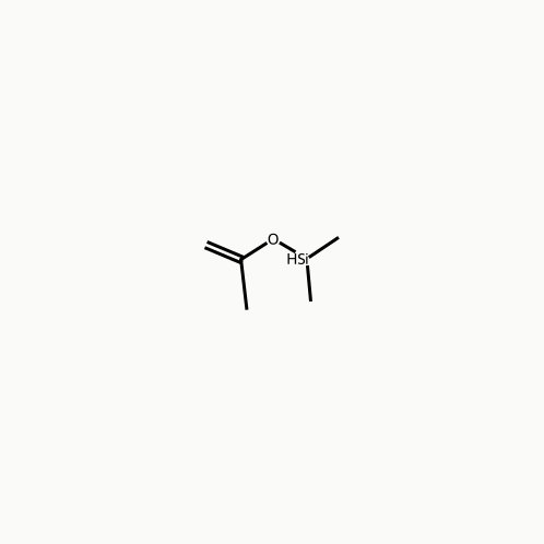 C=C(C)O[SiH](C)C